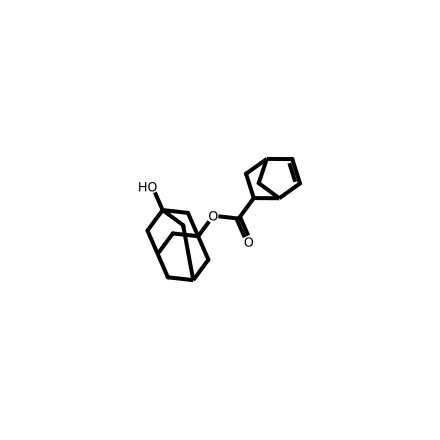 O=C(OC12CC3CC(CC(O)(C3)C1)C2)C1CC2C=CC1C2